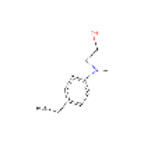 CNCc1ccc(N(C)CCO)cc1